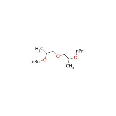 C[CH][CH]OC(C)COCC(C)OCCCC